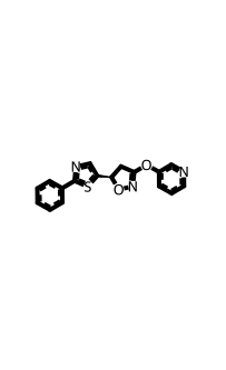 c1ccc(-c2ncc([C@H]3CC(Oc4cccnc4)=NO3)s2)cc1